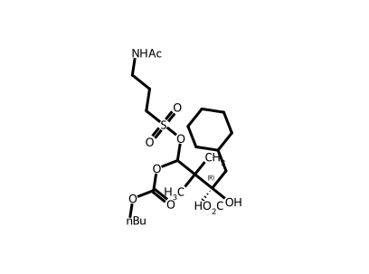 CCCCOC(=O)OC(OS(=O)(=O)CCCNC(C)=O)C(C)(C)[C@](O)(CC1CCCCC1)C(=O)O